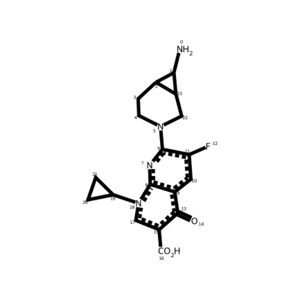 NC1C2CCN(c3nc4c(cc3F)c(=O)c(C(=O)O)cn4C3CC3)CC12